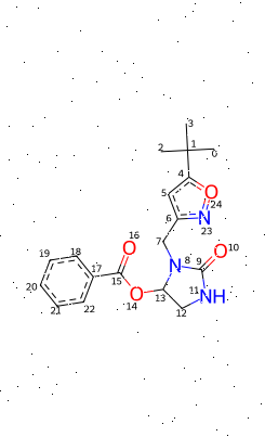 CC(C)(C)c1cc(CN2C(=O)NCC2OC(=O)c2ccccc2)no1